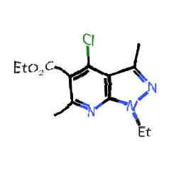 CCOC(=O)c1c(C)nc2c(c(C)nn2CC)c1Cl